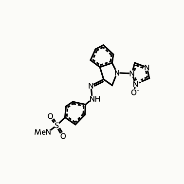 CNS(=O)(=O)c1ccc(N/N=C2\CN(n3cnc[n+]3[O-])c3ccccc32)cc1